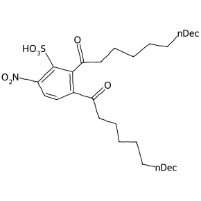 CCCCCCCCCCCCCCCC(=O)c1ccc([N+](=O)[O-])c(S(=O)(=O)O)c1C(=O)CCCCCCCCCCCCCCC